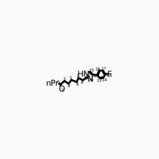 CCCC(=O)CCCCCCc1nc(-c2ccc(F)cc2)c[nH]1